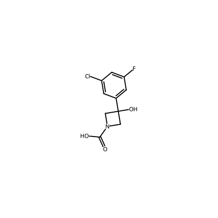 O=C(O)N1CC(O)(c2cc(F)cc(Cl)c2)C1